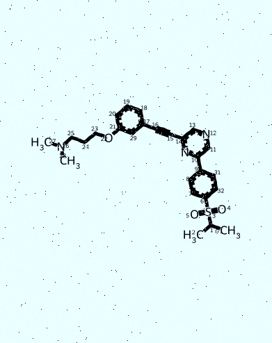 CC(C)S(=O)(=O)c1ccc(-c2cncc(C#Cc3cccc(OCCCN(C)C)c3)n2)cc1